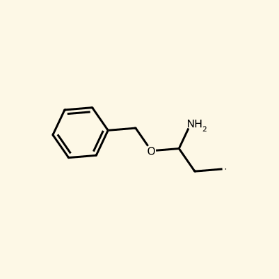 [CH2]CC(N)OCc1ccccc1